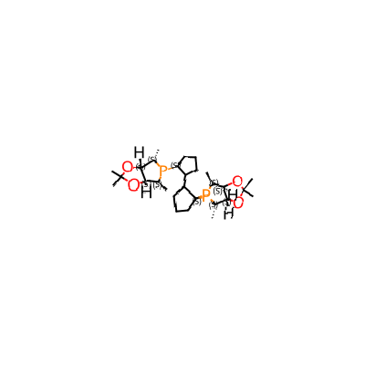 C[C@H]1[C@H]2OC(C)(C)O[C@@H]2[C@H](C)P1[C@H]1CCCC1C1CCC[C@@H]1P1[C@@H](C)[C@H]2OC(C)(C)O[C@@H]2[C@@H]1C